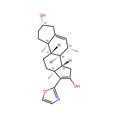 C[C@H]1C=C2C[C@@H](O)CC[C@]2(C)[C@H]2CC[C@]3(C)C(c4ncco4)=C(O)C[C@H]3[C@H]12